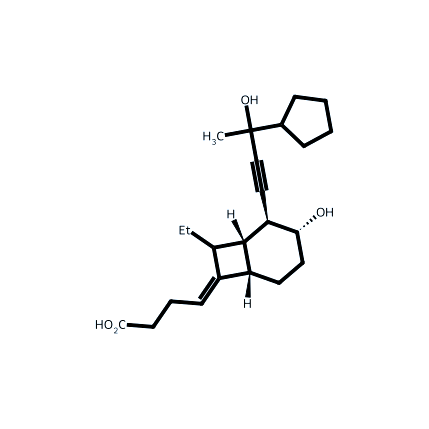 CCC1C(=CCCC(=O)O)[C@H]2CC[C@@H](O)[C@H](C#CC(C)(O)C3CCCC3)[C@@H]12